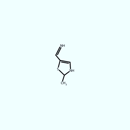 CC1NC=C(C=N)S1